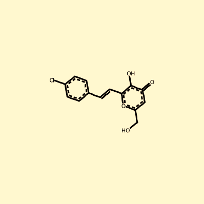 O=c1cc(CO)oc(C=Cc2ccc(Cl)cc2)c1O